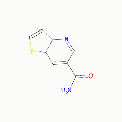 NC(=O)C1=CC2SC=CC2N=C1